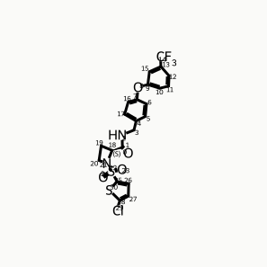 O=C(NCc1ccc(Oc2cccc(C(F)(F)F)c2)cc1)[C@@H]1CCN1S(=O)(=O)c1ccc(Cl)s1